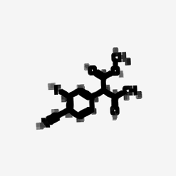 COC(=O)C(C(C)=O)c1ccc(C#N)c(F)c1